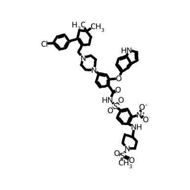 CC1(C)CCC(CN2CCN(c3ccc(C(=O)NS(=O)(=O)c4ccc(NC5CCN(S(C)(=O)=O)CC5)c([N+](=O)[O-])c4)c(Oc4ccc5[nH]ccc5c4)c3)CC2)=C(c2ccc(Cl)cc2)C1